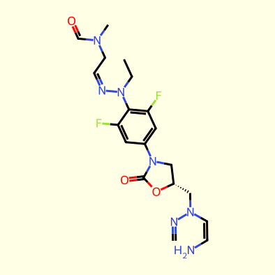 C=NN(/C=C\N)C[C@H]1CN(c2cc(F)c(N(CC)/N=C\CN(C)C=O)c(F)c2)C(=O)O1